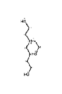 CCCCCCCO.OCCCCCCCO